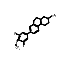 CCCC1CCC2c3ccc(-c4cc(F)c(OC(F)(F)F)c(F)c4)cc3CCC2C1